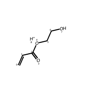 C=CC(=O)OCCO.[H+]